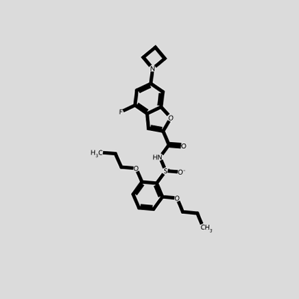 CCCOc1cccc(OCCC)c1[S+]([O-])NC(=O)c1cc2c(F)cc(N3CCC3)cc2o1